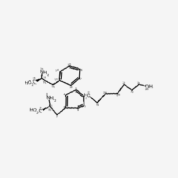 N[C@@H](Cc1ccccc1)C(=O)O.N[C@@H](Cc1ccccc1)C(=O)O.OCCCCCCO